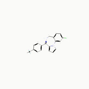 CC(F)(F)c1ccc(C2=NCc3ccc(Cl)cc3-n3cccc32)cc1